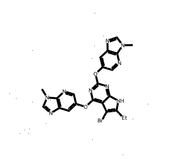 CCc1[nH]c2nc(Oc3cnc4c(c3)ncn4C)nc(Oc3cnc4c(c3)ncn4C)c2c1Br